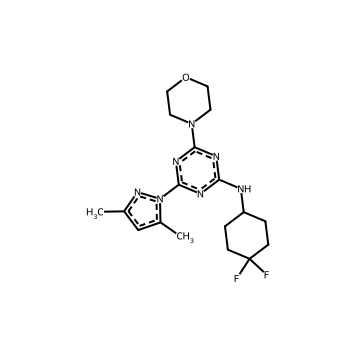 Cc1cc(C)n(-c2nc(NC3CCC(F)(F)CC3)nc(N3CCOCC3)n2)n1